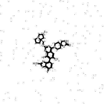 Nc1nc2c(-c3c(C(F)(F)F)cc4c(N5CCC6(CC5)CNC(=O)O6)nc(OC[C@@]56CCCN5C[C@H](F)C6)nc4c3F)ccc(F)c2s1